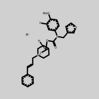 COc1ccc(N(Cc2ccsc2)C(=O)O[C@H]2C[N+]3(CC=Cc4ccccc4)CCC2CC3)cc1F.[Br-]